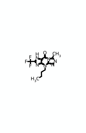 CCCCn1c2nc(C(F)(F)F)[nH]c2c(=O)n2c(C)nnc12